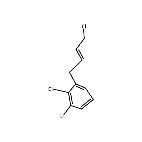 ClCC=CCc1cccc(Cl)c1Cl